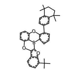 CC(C)(C)c1cccc2c3c(oc12)B1c2cccc(-c4ccc5c(c4)C(C)(C)CCC5(C)C)c2Oc2cccc(c21)O3